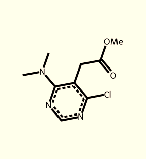 COC(=O)Cc1c(Cl)ncnc1N(C)C